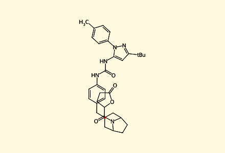 Cc1ccc(-n2nc(C(C)(C)C)cc2NC(=O)Nc2ccc(CC3CC4CCC(C3)N4C(=O)C3CCC(=O)O3)cc2)cc1